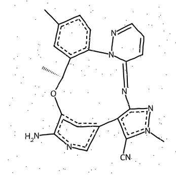 Cc1ccc2c(c1)[C@@H](C)Oc1cc(cnc1N)-c1c(nn(C)c1C#N)/N=C1\C=CC=NN12